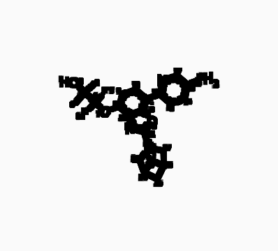 CC(C)(O)C(F)(F)Oc1ccc(-c2ccc(P)cn2)c2oc(N3CC4CC(C3)N4)nc12